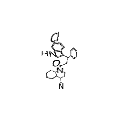 N#CC1CCN(C(=O)CC(c2ccccc2)c2c[nH]c3cc(Cl)ccc23)C2CCCCC12